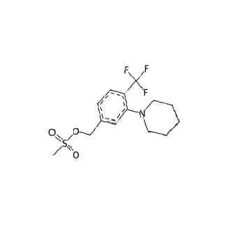 CS(=O)(=O)OCc1ccc(C(F)(F)F)c(N2CCCCC2)c1